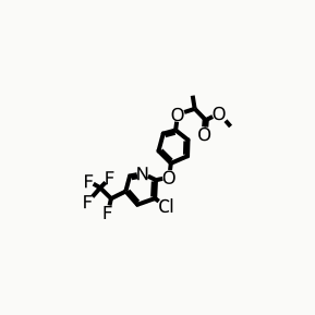 COC(=O)C(C)Oc1ccc(Oc2ncc(C(F)C(F)(F)F)cc2Cl)cc1